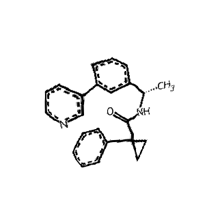 C[C@H](NC(=O)C1(c2ccccc2)CC1)c1cccc(-c2cccnc2)c1